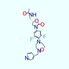 CC(=O)NC[C@H]1CN(c2cc(F)c(N3CCON(Cc4ccncc4)CC3)c(F)c2)C(=O)O1